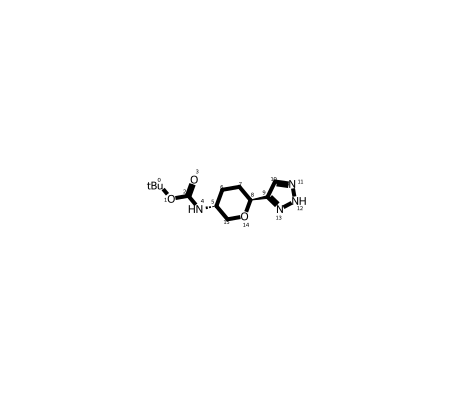 CC(C)(C)OC(=O)N[C@@H]1CC[C@@H](c2cn[nH]n2)OC1